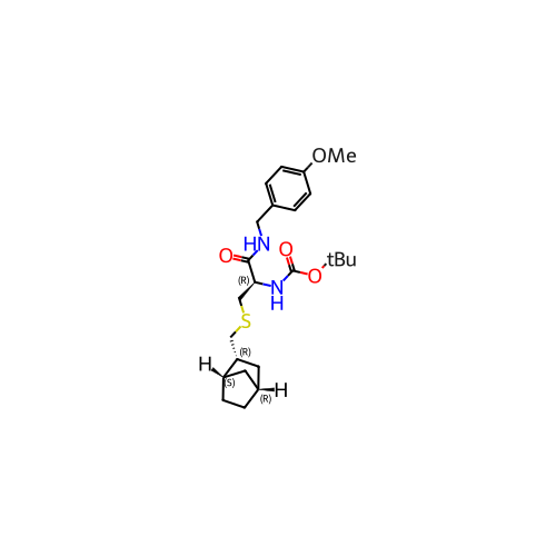 COc1ccc(CNC(=O)[C@H](CSC[C@@H]2C[C@@H]3CC[C@H]2C3)NC(=O)OC(C)(C)C)cc1